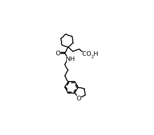 O=C(O)CCC1(C(=O)NCCCc2ccc3c(c2)CCO3)CCCCC1